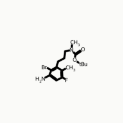 Cc1c(F)cc(N)c(Br)c1CCCN(C)C(=O)OC(C)(C)C